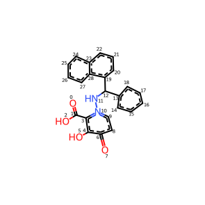 O=C(O)c1c(O)c(=O)ccn1NC(c1ccccc1)c1cccc2ccccc12